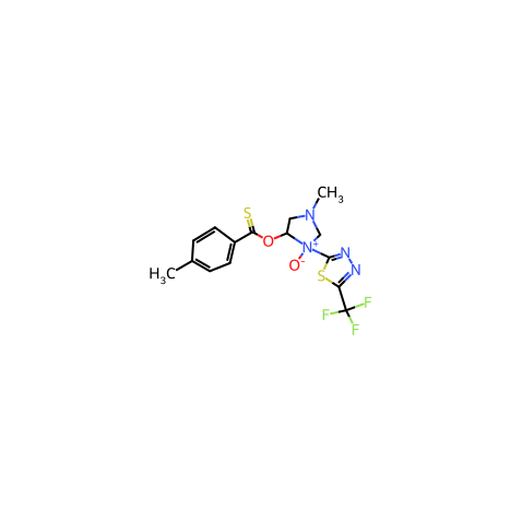 Cc1ccc(C(=S)OC2CN(C)C[N+]2([O-])c2nnc(C(F)(F)F)s2)cc1